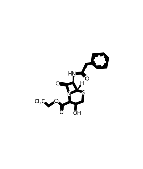 O=C(Cc1ccccc1)N[C@@H]1C(=O)N2C(C(=O)OCC(Cl)(Cl)Cl)C(O)CS[C@@H]12